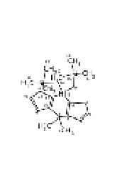 CC1(C)C2=[C](CC=C2)[Hf]([CH2][Si](C)(C)C)([CH2][Si](C)(C)C)[C]2=C1C=CC2